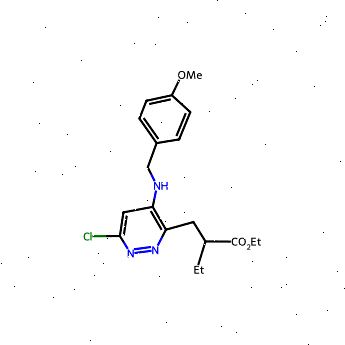 CCOC(=O)C(CC)Cc1nnc(Cl)cc1NCc1ccc(OC)cc1